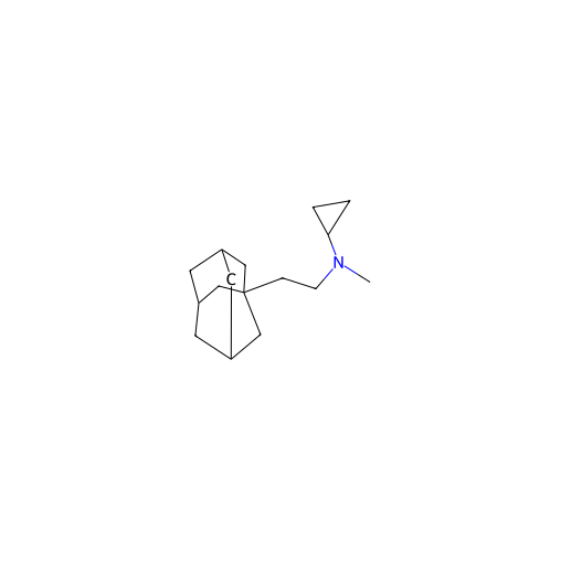 CN(CCC12CC3CC(CC(C3)C1)C2)C1CC1